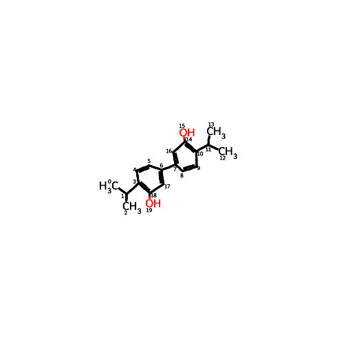 CC(C)c1ccc(-c2ccc(C(C)C)c(O)c2)cc1O